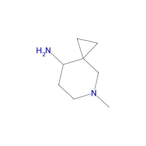 CN1CCC(N)C2(CC2)C1